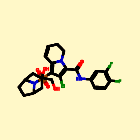 O=C(Nc1ccc(F)c(F)c1)c1c(Cl)c(S(=O)(=O)N2C3CCC2CC(O)(CO)C3)c2n1CCC=C2